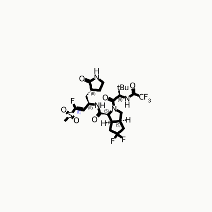 CC(C)(C)[C@@H](NC(=O)C(F)(F)F)C(=O)N1C[C@H]2CC(F)(F)C[C@H]2[C@H]1C(=O)N[C@@H](/C=C(\F)S(C)(=O)=O)C[C@H]1CCNC1=O